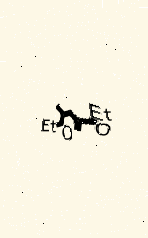 CCC(=O)C(C)CC(C)C(=O)CC